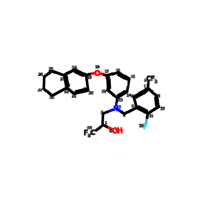 OC(CN(Cc1cc(C(F)(F)F)ccc1F)c1cccc(Oc2ccc3c(c2)CCCC3)c1)C(F)(F)F